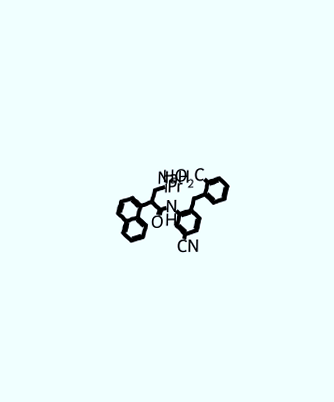 CC(C)CC(C(=O)Nc1cc(C#N)ccc1Cc1ccccc1C(=O)O)c1cccc2ccccc12.[NaH]